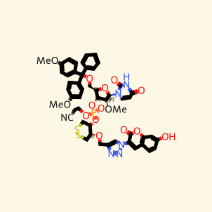 COc1ccc(C(OC[C@H]2O[C@@H](n3ccc(=O)[nH]c3=O)[C@H](OC)[C@@H]2OP(=O)(OCCC#N)OC2CSSC[C@H]2OCc2cn(-c3cc4ccc(O)cc4oc3=O)nn2)(c2ccccc2)c2ccc(OC)cc2)cc1